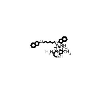 CC1(C)C[C@@H]2SCC[C@H](N)C(=O)N2[C@@H]1C(=O)N[C@H]1c2ccccc2C[C@H]1OCCCCCCOC1Cc2ccccc2C1